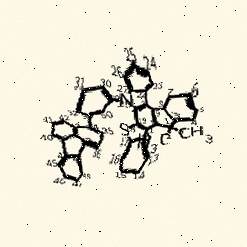 CC1(C)c2ccccc2-c2c1c1c3ccccc3sc1c1c2c2ccccc2n1-c1cccc(-c2ccc3c4c(cccc24)-c2ccccc2-3)c1